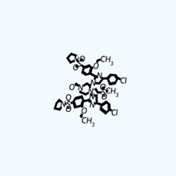 CCOc1cc(S(=O)(=O)N2CCCC2)ccc1C1=NC(c2ccc(Cl)cc2)CN1[C@H]1CN(C=O)CC[N@@+]1(CCS(C)(=O)=O)N1CC(c2ccc(Cl)cc2)N=C1c1ccc(S(=O)(=O)N2CCCC2)cc1OCC